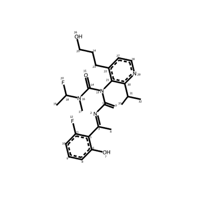 C=C(/N=C(\C)c1c(O)cccc1F)N(C(=O)N(C)C(C)F)c1c(CCCO)ccnc1C(C)C